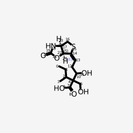 CCC(C)C(CO)(C(=O)O)C(O)C/C=C1/SC[C@@H]2NC(=O)O[C@H]12